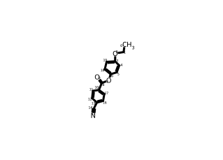 CCOc1ccc(OC(=O)c2ccc(C#N)cc2)cc1